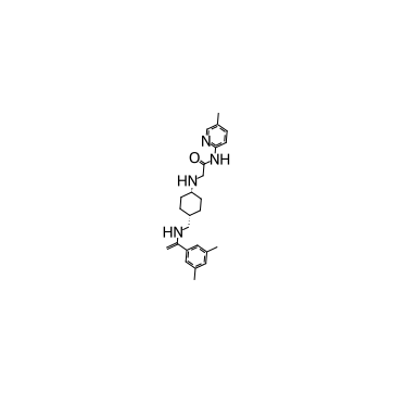 C=C(NC[C@H]1CC[C@@H](NCC(=O)Nc2ccc(C)cn2)CC1)c1cc(C)cc(C)c1